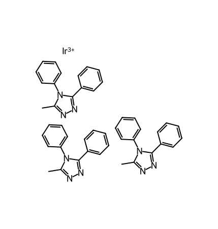 Cc1nnc(-c2ccccc2)n1-c1ccccc1.Cc1nnc(-c2ccccc2)n1-c1ccccc1.Cc1nnc(-c2ccccc2)n1-c1ccccc1.[Ir+3]